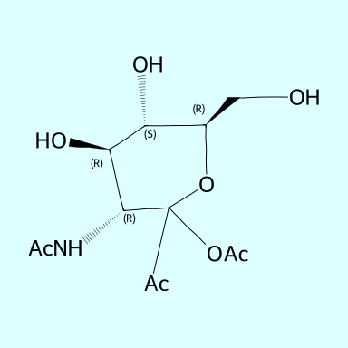 CC(=O)N[C@@H]1[C@@H](O)[C@H](O)[C@@H](CO)OC1(OC(C)=O)C(C)=O